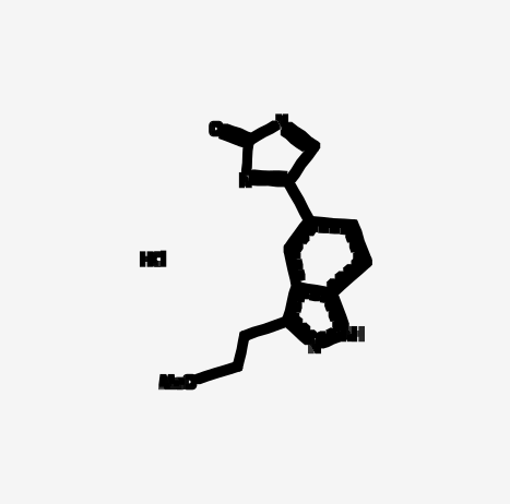 COCCc1n[nH]c2ccc(C3=NC(=O)N=C3)cc12.Cl